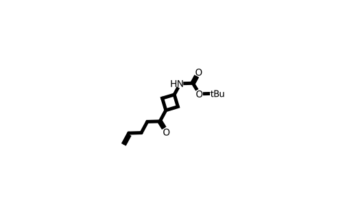 C=CCCC(=O)C1CC(NC(=O)OC(C)(C)C)C1